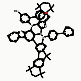 CC(C)(C)c1ccc(N2c3c(sc4cc5c(cc34)C(C)(C)CCC5(C)C)B3c4c(cc5c(oc6ccccc65)c42)-c2cc4c(cc2N3c2ccc(-c3ccccc3)cc2)C(C)(C)c2cc3c(cc2-4)C(C)(C)CCC3(C)C)c(-c2ccccc2)c1